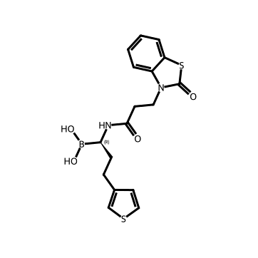 O=C(CCn1c(=O)sc2ccccc21)N[C@@H](CCc1ccsc1)B(O)O